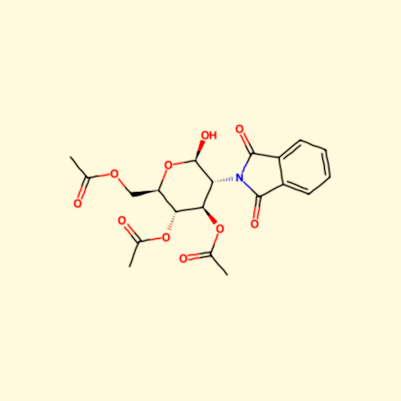 CC(=O)OC[C@H]1O[C@@H](O)[C@H](N2C(=O)c3ccccc3C2=O)[C@@H](OC(C)=O)[C@@H]1OC(C)=O